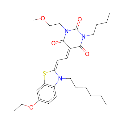 CCCCCCN1C(=CC=C2C(=O)N(CCCC)C(=O)N(CCOC)C2=O)Sc2cc(OCC)ccc21